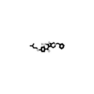 CC(C)CCOc1ccc(C(=O)c2c(N)sc3c2CCN(Cc2ccccc2)C3)cc1